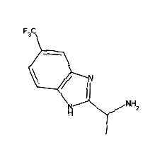 CC(N)c1nc2cc(C(F)(F)F)ccc2[nH]1